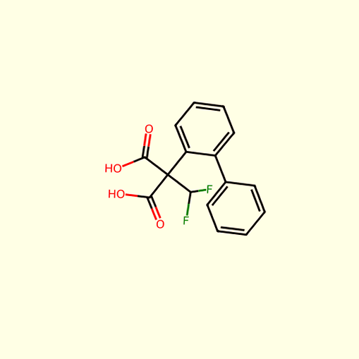 O=C(O)C(C(=O)O)(c1ccccc1-c1ccccc1)C(F)F